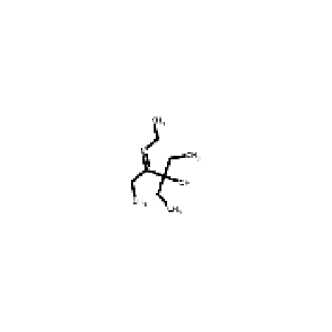 CCN=C(CC)C(O)(CC)CC